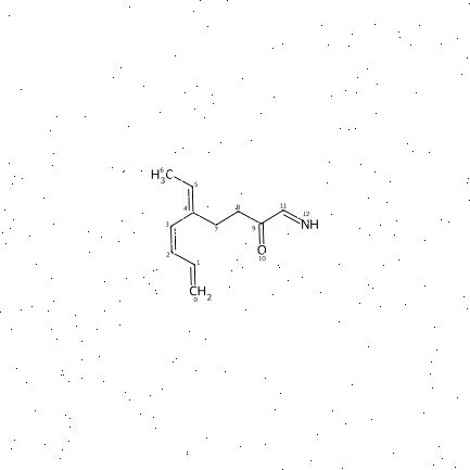 C=C/C=C\C(=C/C)CCC(=O)C=N